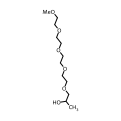 COCCOCCOCCOCCOCC(C)O